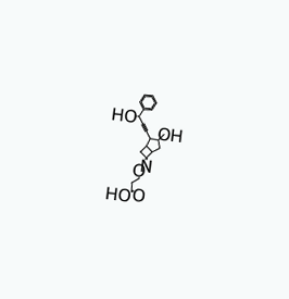 O=C(O)CCON=C1CC2C1CC(O)C2C#CC(O)c1ccccc1